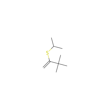 C=C(SC(C)C)C(C)(C)C